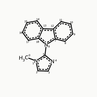 Cn1ccnc1-n1c2ccccc2c2ccccc21